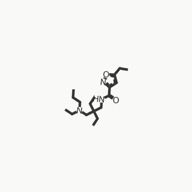 CCCN(CC)CC(CC)(CC)CNC(=O)c1cc(CC)on1